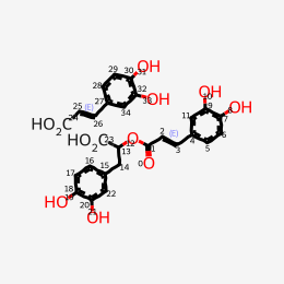 O=C(/C=C/c1ccc(O)c(O)c1)OC(Cc1ccc(O)c(O)c1)C(=O)O.O=C(O)/C=C/c1ccc(O)c(O)c1